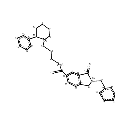 O=C(NCCCN1CCCCC1c1ccccc1)c1ccc2c(c1)C(=O)N(Cc1ccccc1)C2